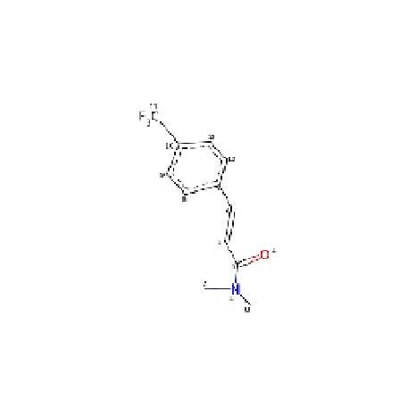 CN(C)C(=O)C=Cc1ccc(C(F)(F)F)cc1